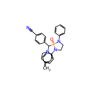 C=C1CCN(C(c2ccc(C#N)cc2)P2(=O)N(c3ccccc3)CCN2c2ccccc2)CC1